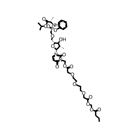 CCCC(=O)OCOC(=O)COCCOCCOCC(=O)OCn1c(=O)ccn([C@@H]2O[C@H](COCP(=O)(N[C@@H](C)C(=O)OC(C)C)Oc3ccccc3)C(O)[C@@H]2C)c1=O